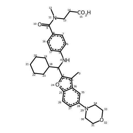 Cc1c(C(Nc2ccc(C(=O)N(C)CCC(=O)O)cc2)C2CCCCC2)oc2ccc(N3CCOCC3)cc12